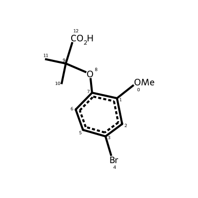 COc1cc(Br)ccc1OC(C)(C)C(=O)O